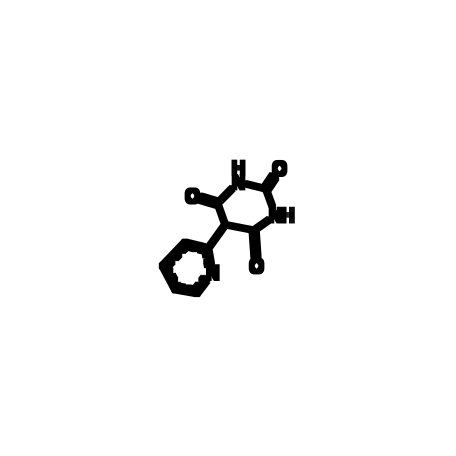 O=C1NC(=O)C(c2ccccn2)C(=O)N1